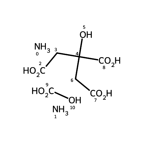 N.N.O=C(O)CC(O)(CC(=O)O)C(=O)O.O=C(O)O